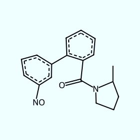 CC1CCCN1C(=O)c1ccccc1-c1cccc(N=O)c1